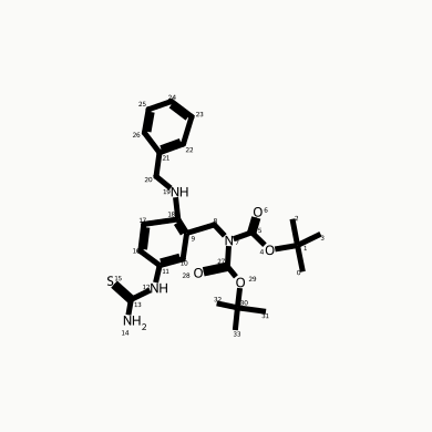 CC(C)(C)OC(=O)N(Cc1cc(NC(N)=S)ccc1NCc1ccccc1)C(=O)OC(C)(C)C